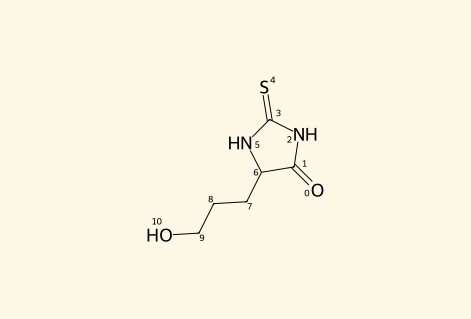 O=C1NC(=S)NC1CCCO